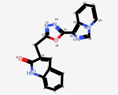 O=c1[nH]c2ccccc2cc1Cc1nnc(-c2ncn3ccccc23)o1